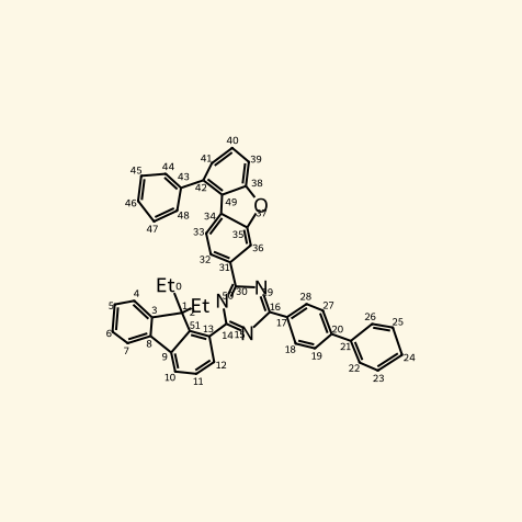 CCC1(CC)c2ccccc2-c2cccc(-c3nc(-c4ccc(-c5ccccc5)cc4)nc(-c4ccc5c(c4)oc4cccc(-c6ccccc6)c45)n3)c21